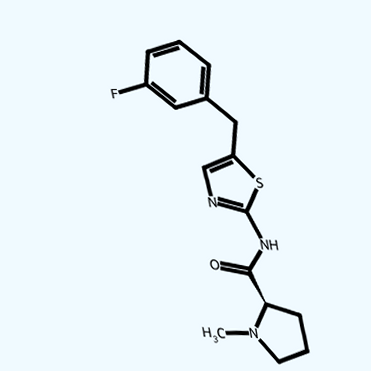 CN1CCC[C@@H]1C(=O)Nc1ncc(Cc2cccc(F)c2)s1